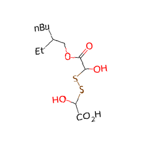 CCCCC(CC)COC(=O)C(O)SSC(O)C(=O)O